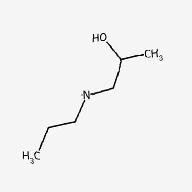 CCC[N]CC(C)O